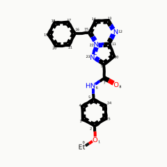 CCOc1ccc(NC(=O)c2cc3nccc(-c4ccccc4)n3n2)cc1